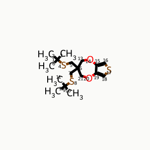 CC(C)(C)SCC1(CSC(C)(C)C)COc2cscc2OC1